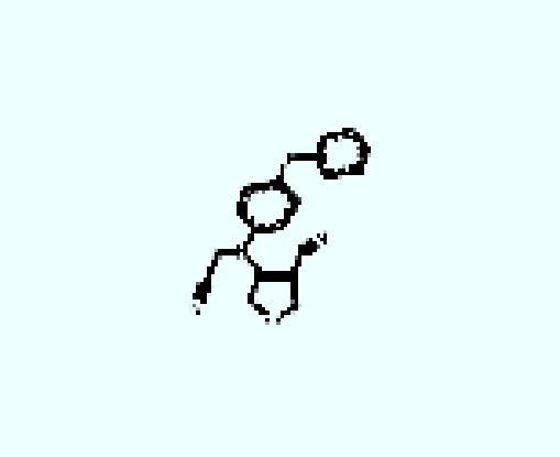 N#CCN(C1=C(C#N)COC1)c1ccc(Oc2ccccc2)cc1